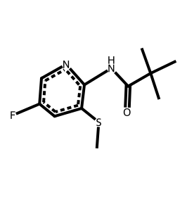 CSc1cc(F)cnc1NC(=O)C(C)(C)C